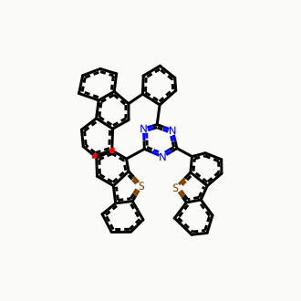 c1ccc(-c2cc3ccccc3c3ccccc23)c(-c2nc(-c3cccc4c3sc3ccccc34)nc(-c3cccc4c3sc3ccccc34)n2)c1